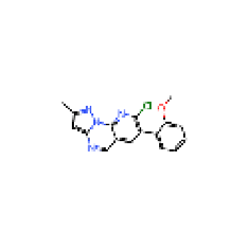 COc1ccccc1-c1cc2cnc3cc(C)nn3c2nc1Cl